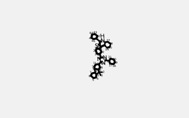 CC1(C)c2ccccc2-c2ccc(-c3nc(-c4ccccc4)nc(-c4ccc5sc6c(c5c4)=C4C=CC=CC4NC=6c4ccccc4)n3)cc21